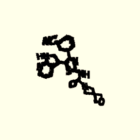 N#Cc1cccc(-c2nc(NC(=O)N3CC4(COC4)C3)sc2-c2c[nH]c3ncccc23)c1